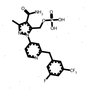 Cc1nn(-c2ccnc(Cc3cc(F)cc(C(F)(F)F)c3)c2)c(COP(=O)(O)O)c1C(N)=O